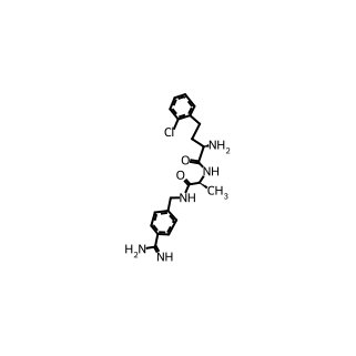 C[C@H](NC(=O)[C@H](N)CCc1ccccc1Cl)C(=O)NCc1ccc(C(=N)N)cc1